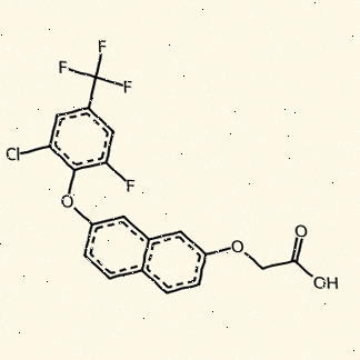 O=C(O)COc1ccc2ccc(Oc3c(F)cc(C(F)(F)F)cc3Cl)cc2c1